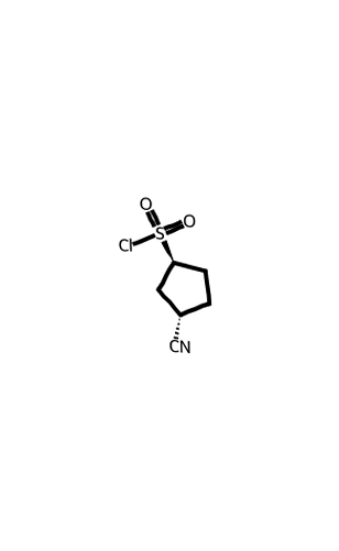 N#C[C@H]1CC[C@H](S(=O)(=O)Cl)C1